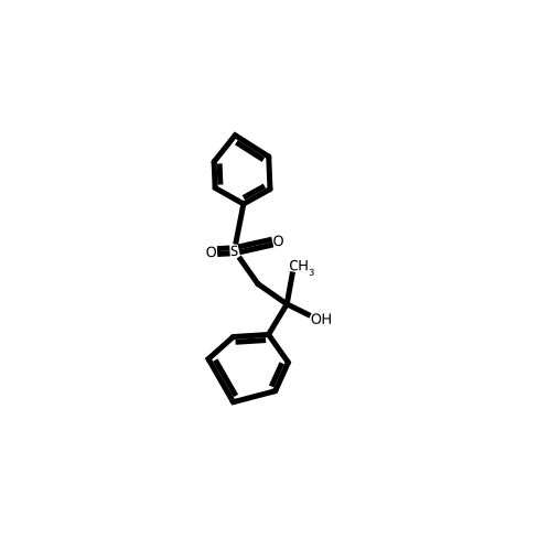 CC(O)(CS(=O)(=O)c1ccccc1)c1ccccc1